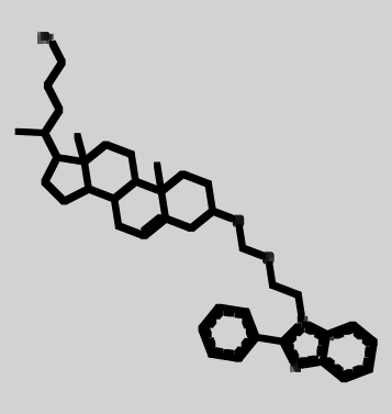 CC(C)CCCC(C)C1CCC2C3CC=C4CC(OCOCCn5c(-c6ccccc6)nc6ccccc65)CCC4(C)C3CCC12C